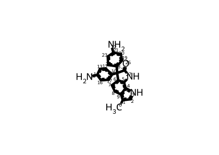 Cc1c[nH]c2c3c(ccc12)C(c1ccc(N)cc1)(c1ccc(N)cc1)C(=O)N3